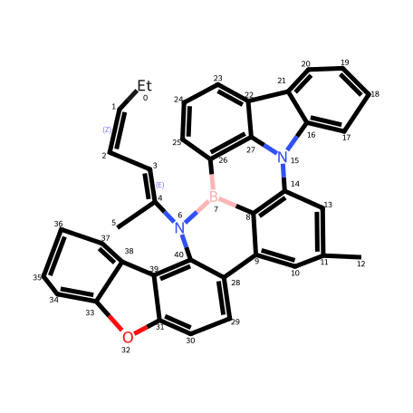 CC/C=C\C=C(/C)N1B2c3c(cc(C)cc3-n3c4ccccc4c4cccc2c43)-c2ccc3oc4ccccc4c3c21